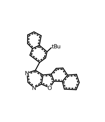 CC(C)(C)c1cc(-c2ncnc3oc4c5ccccc5ccc4c23)cc2ccccc12